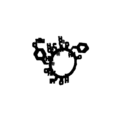 CCCCOc1ccc(C[C@@H]2NC(=O)[C@H](C)N(C)C(=O)[C@H](Cc3ccccc3)NC(=O)CCCNC(=O)C(C(C)C)NC2=O)cc1